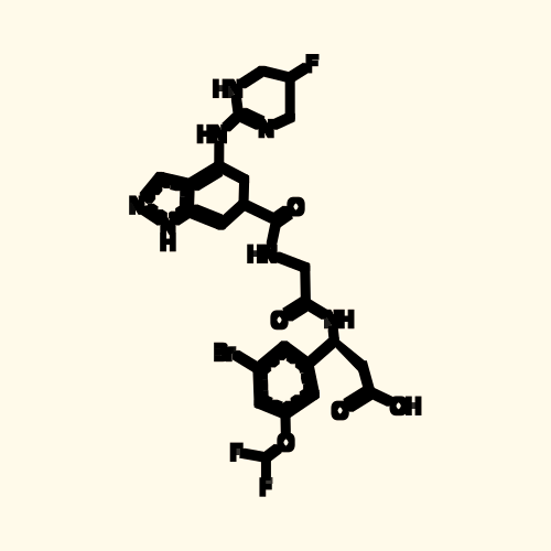 O=C(O)C[C@H](NC(=O)CNC(=O)C1C=c2[nH]ncc2=C(NC2=NCC(F)CN2)C1)c1cc(Br)cc(OC(F)F)c1